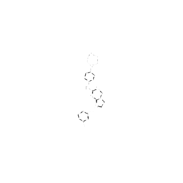 O=S(=O)(c1cccc(Cl)c1)n1ccc2cnc(Nc3ccc(N4CCNCC4)cc3)nc21